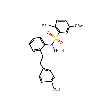 CCCCCCCN(c1ccccc1CCc1ccc(C(=O)O)cc1)S(=O)(=O)c1cc(OC)ccc1OC